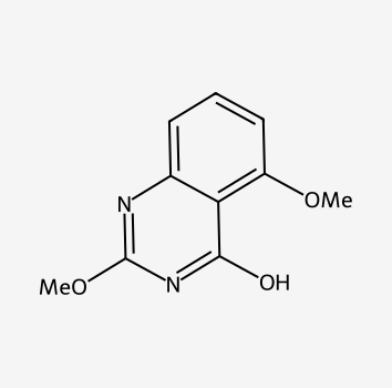 COc1nc(O)c2c(OC)cccc2n1